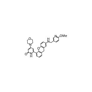 COc1ccc(CNc2ccc3c(c2)Cc2cccc(-c4cc(N5CCOCC5)cc(=O)[nH]4)c2O3)cn1